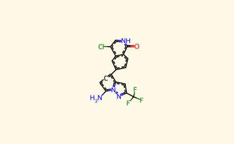 Nc1ccc(-c2ccc3c(=O)[nH]cc(Cl)c3c2)c2cc(C(F)(F)F)nn12